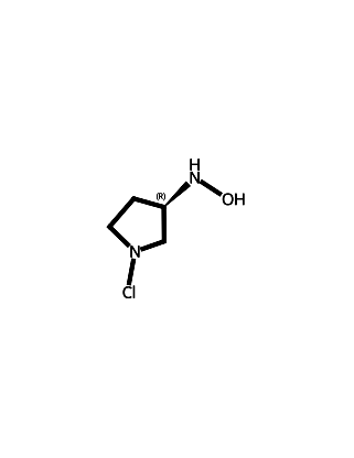 ON[C@@H]1CCN(Cl)C1